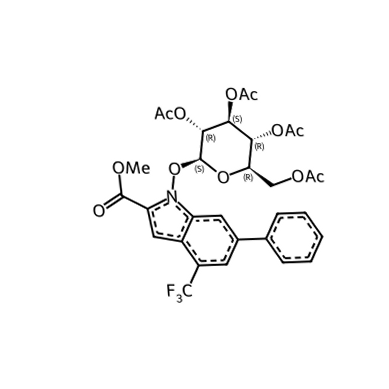 COC(=O)c1cc2c(C(F)(F)F)cc(-c3ccccc3)cc2n1O[C@@H]1O[C@H](COC(C)=O)[C@@H](OC(C)=O)[C@H](OC(C)=O)[C@H]1OC(C)=O